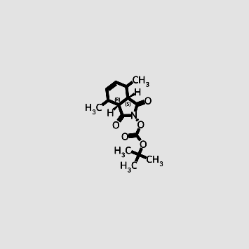 CC1C=CC(C)[C@@H]2C(=O)N(OC(=O)OC(C)(C)C)C(=O)[C@H]12